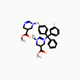 COC(=O)C1CN(C)C=[N+](C(c2ccccc2)(c2ccccc2)c2ccccc2)C1.COC(=O)C1CN=CN(C)C1.[I-]